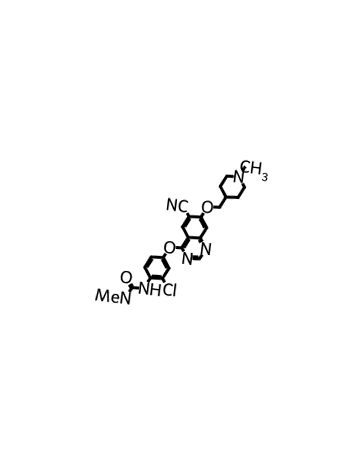 CNC(=O)Nc1ccc(Oc2ncnc3cc(OCC4CCN(C)CC4)c(C#N)cc23)cc1Cl